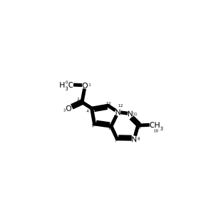 COC(=O)c1cc2cnc(C)nn2c1